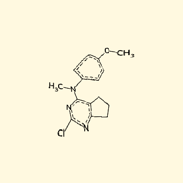 COc1ccc(N(C)c2nc(Cl)nc3c2CCC3)cc1